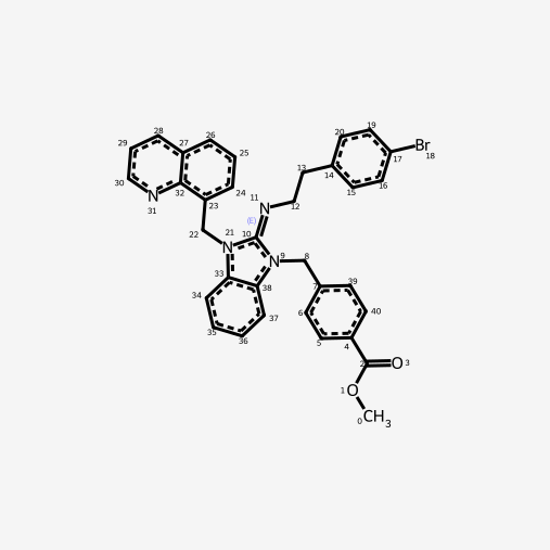 COC(=O)c1ccc(Cn2/c(=N\CCc3ccc(Br)cc3)n(Cc3cccc4cccnc34)c3ccccc32)cc1